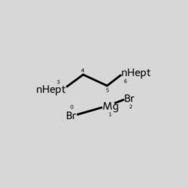 [Br][Mg][Br].[CH2]CCCCCCCCCCCCCCC